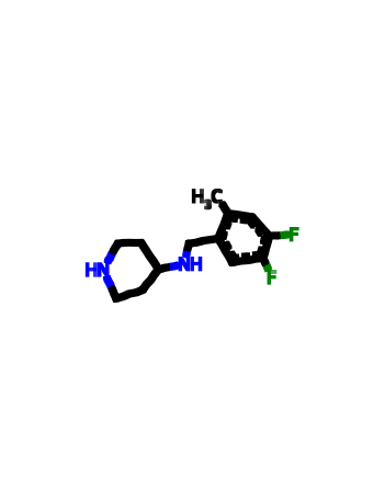 Cc1cc(F)c(F)cc1CNC1CCNCC1